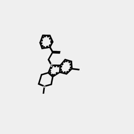 C=C(Cn1c2c(c3cc(C)ccc31)CN(C)CC2)c1ccccc1